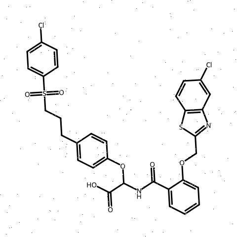 O=C(NC(Oc1ccc(CCCS(=O)(=O)c2ccc(Cl)cc2)cc1)C(=O)O)c1ccccc1OCc1nc2cc(Cl)ccc2s1